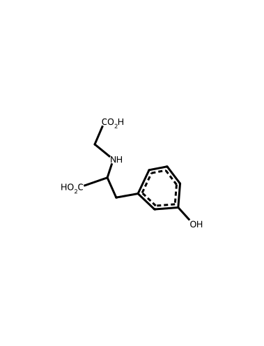 O=C(O)CNC(Cc1cccc(O)c1)C(=O)O